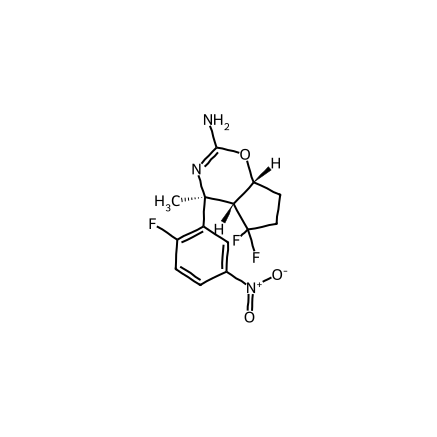 C[C@]1(c2cc([N+](=O)[O-])ccc2F)N=C(N)O[C@@H]2CCC(F)(F)[C@@H]21